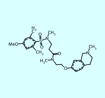 COc1cc(C)c(S(=O)(=O)N(C)CCC(=O)N(C)CCOc2ccc3c(c2)CN(C)CC3)c(C)c1